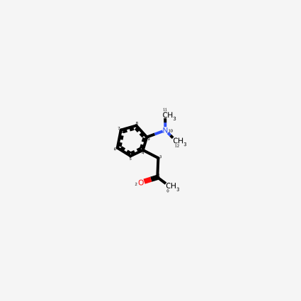 CC(=O)Cc1ccccc1N(C)C